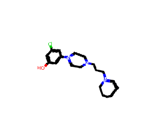 Oc1cc(Cl)cc(N2CCN(CCCN3CCCCC3)CC2)c1